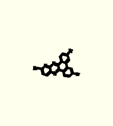 Brc1ccc2c(c1)c1cc(Br)ccc1c1nc3nc(Br)ccc3nc21